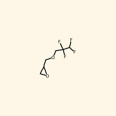 FC(F)C(F)(F)COCC1CO1